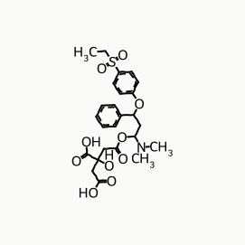 CCS(=O)(=O)c1ccc(OC(CC(OC(=O)CC(O)(CC(=O)O)C(=O)O)N(C)C)c2ccccc2)cc1